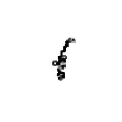 O=C(NCC1CCOC1)c1cc(CCCCCO)on1